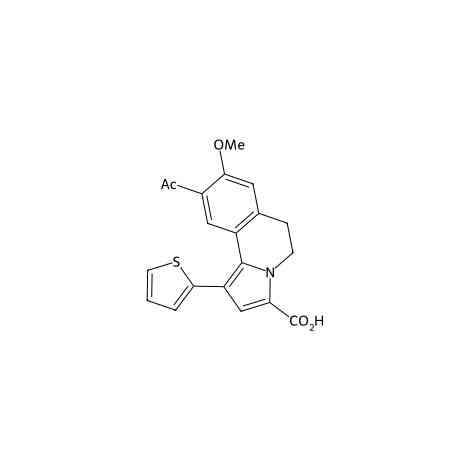 COc1cc2c(cc1C(C)=O)-c1c(-c3cccs3)cc(C(=O)O)n1CC2